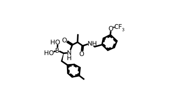 Cc1ccc(C[C@H](NC(=O)C(C)C(=O)NCc2cccc(OC(F)(F)F)c2)B(O)O)cc1